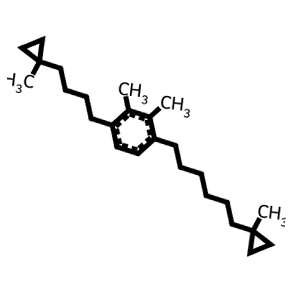 Cc1c(CCCCCCC2(C)CC2)ccc(CCCCC2(C)CC2)c1C